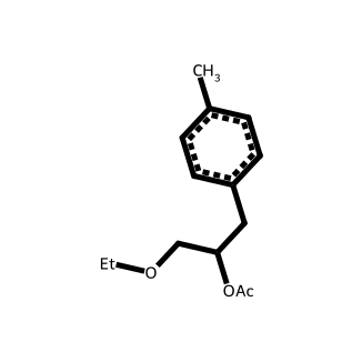 CCOCC(Cc1ccc(C)cc1)OC(C)=O